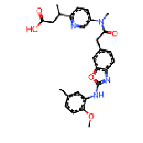 COc1ccc(C)cc1Nc1nc2ccc(CC(=O)N(C)c3ccc(C(C)CC(=O)O)nc3)cc2o1